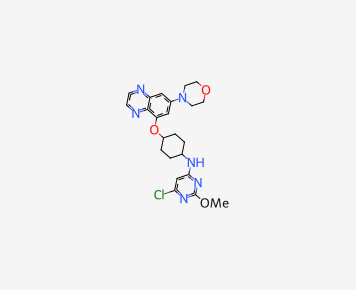 COc1nc(Cl)cc(NC2CCC(Oc3cc(N4CCOCC4)cc4nccnc34)CC2)n1